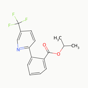 CC(C)OC(=O)c1ccccc1-c1ccc(C(F)(F)F)cn1